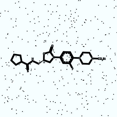 CCOC(=O)N1CCN(c2ccc(N3C[C@H](CNC(=S)C4CCCC4)OC3=O)cc2F)CC1